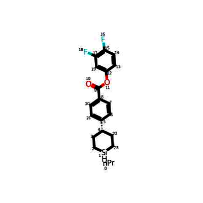 CCC[Si@H]1CC[C@H](c2ccc(C(=O)Oc3ccc(F)c(F)c3)cc2)CC1